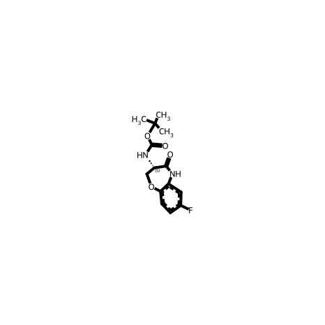 CC(C)(C)OC(=O)N[C@H]1COc2ccc(F)cc2NC1=O